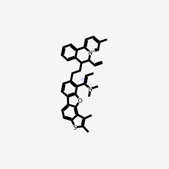 C=CC1C(CCc2ccc3c(oc4c3ccc3sc(C)c(C)c34)c2/C(=C/C)N(C)C)c2ccccc2-c2ccc(C)c[n+]21